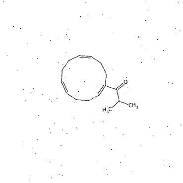 CC(C)C(=O)C1=CCCC=CCCC=CCC1